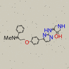 CN[C@H](CCOc1ccc(-c2ccnc(N[C@H]3CNC[C@@H]3O)n2)cc1)c1ccccc1